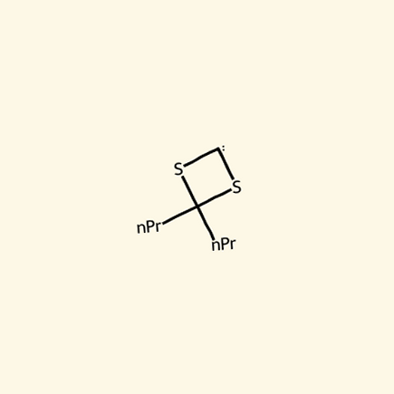 CCCC1(CCC)S[C]S1